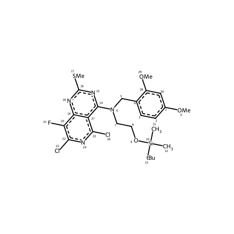 COc1ccc(CN(CCO[Si](C)(C)C(C)(C)C)c2nc(SC)nc3c(F)c(Cl)nc(Cl)c23)c(OC)c1